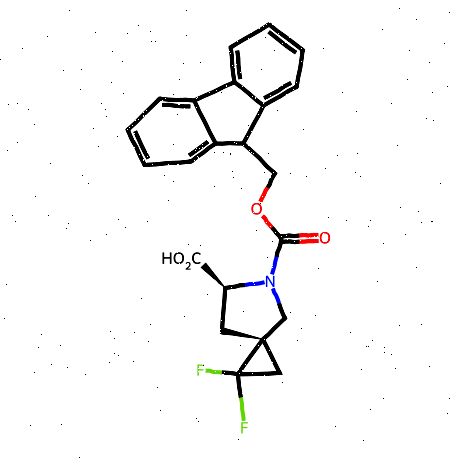 O=C(O)[C@@H]1C[C@@]2(CN1C(=O)OCC1c3ccccc3-c3ccccc31)CC2(F)F